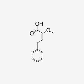 CO/C(=C/Cc1ccccc1)C(=O)O